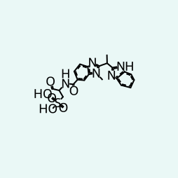 CC(c1nc2ccccc2[nH]1)c1nc2ccc(C(=O)NC(CS(=O)(=O)O)C(=O)O)cc2n1C